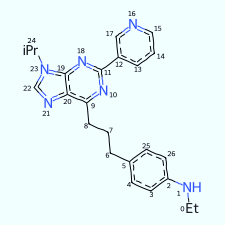 CCNc1ccc(CCCc2nc(-c3cccnc3)nc3c2ncn3C(C)C)cc1